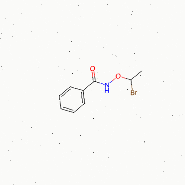 CC(Br)ONC(=O)c1ccccc1